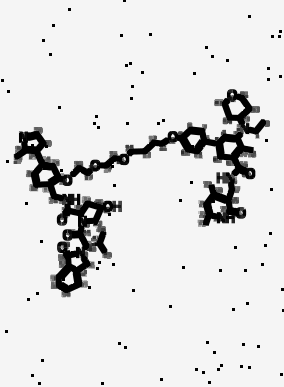 CCN(c1cc(-c2ccc(OCCCCOCCOCCOc3cc(C4=C(C)N=CC4)ccc3CNC(=O)C3C[C@@H](O)CN3C(=O)[C@H](C(C)C)N3Cc4ccccc4C3=O)cc2)cc(C(=O)NCc2c(C)cc(C)[nH]c2=O)c1C)C1CCOCC1